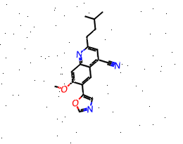 COc1cc2nc(CCC(C)C)cc(C#N)c2cc1-c1cnco1